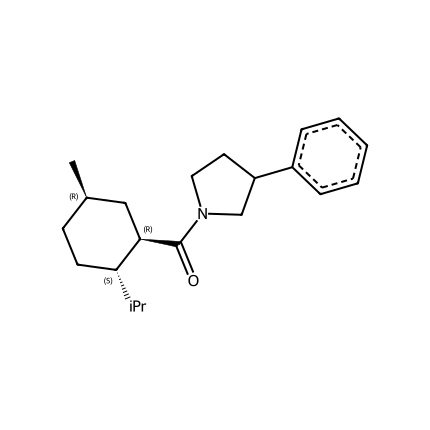 CC(C)[C@@H]1CC[C@@H](C)C[C@H]1C(=O)N1CCC(c2ccccc2)C1